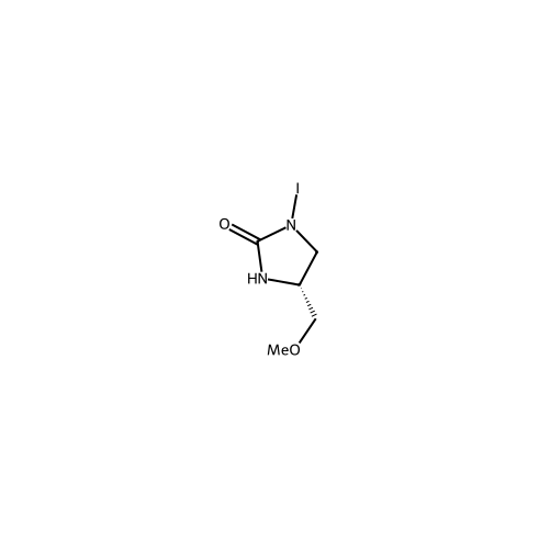 COC[C@H]1CN(I)C(=O)N1